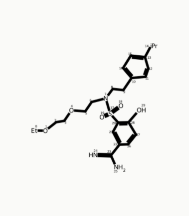 CCOCCOCCN(CCc1ccc(C(C)C)cc1)S(=O)(=O)c1cc(C(=N)N)ccc1O